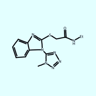 CCNC(=O)CSc1nc2ccccc2n1-c1nnnn1C